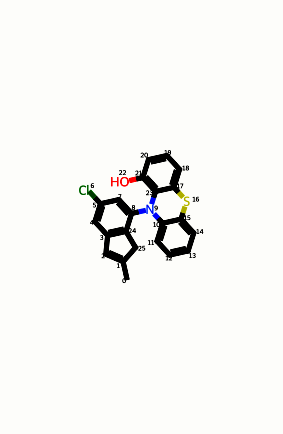 CC1=Cc2cc(Cl)cc(N3c4ccccc4Sc4cccc(O)c43)c2C1